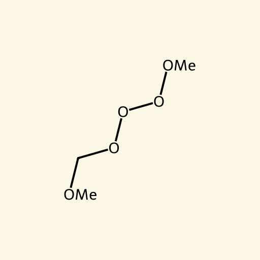 COCOOOOC